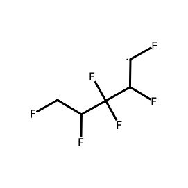 F[CH]C(F)C(F)(F)C(F)CF